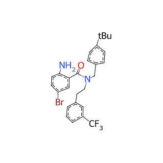 CC(C)(C)c1ccc(CN(CCc2cccc(C(F)(F)F)c2)C(=O)c2cc(Br)ccc2N)cc1